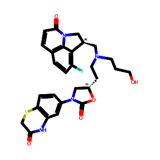 O=C1CSc2ccc(N3C[C@H](CCN(CCCO)C[C@@H]4Cn5c(=O)ccc6ccc(F)c4c65)OC3=O)cc2N1